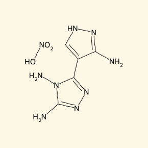 Nc1n[nH]cc1-c1nnc(N)n1N.O=[N+]([O-])O